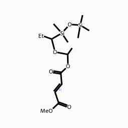 CCC(OC(C)OC(=O)/C=C/C(=O)OC)[Si](C)(C)O[Si](C)(C)C